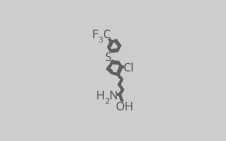 NC(CO)CCCc1ccc(Sc2cccc(C(F)(F)F)c2)cc1Cl